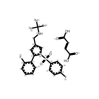 O=C(O)/C=C/C(=O)O.[2H]C([2H])([2H])NCc1cc(-c2ccccc2F)n(S(=O)(=O)c2ccc(F)cc2)c1